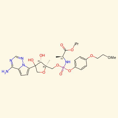 COCCOc1ccc(OP(=O)(N[C@@H](C)C(=O)OC(C)C)OC[C@@]2(C)OCC(O)(c3ccc4c(N)ncnn34)[C@@H]2O)cc1